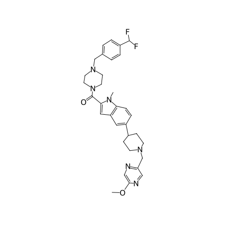 COc1cnc(CN2CCC(c3ccc4c(c3)cc(C(=O)N3CCN(Cc5ccc(C(F)F)cc5)CC3)n4C)CC2)cn1